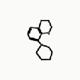 [C]1CCOc2c1cccc2N1CCCCC1